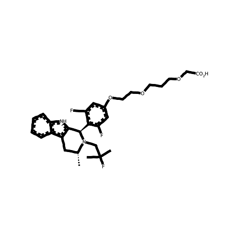 C[C@@H]1Cc2c([nH]c3ccccc23)[C@@H](c2c(F)cc(OCCOCCCOCC(=O)O)cc2F)N1CC(C)(C)F